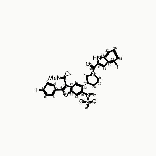 CNC(=O)c1c(-c2ccc(F)cc2)oc2cc(N(C)S(C)(=O)=O)c([C@H]3CCCN(C(=O)c4cc5c(F)cccc5[nH]4)C3)cc12